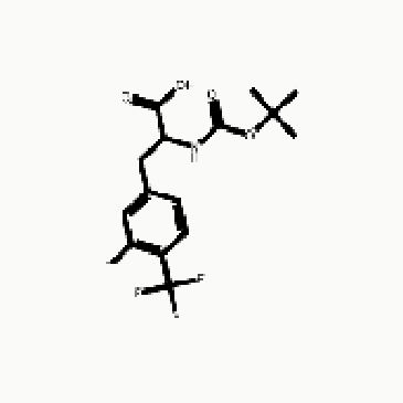 CC(C)(C)OC(=O)NC(Cc1ccc(C(F)(F)F)c(F)c1)C(=O)O